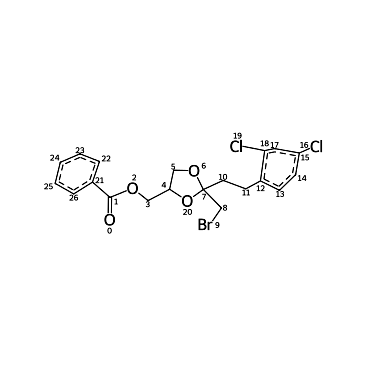 O=C(OCC1COC(CBr)(CCc2ccc(Cl)cc2Cl)O1)c1ccccc1